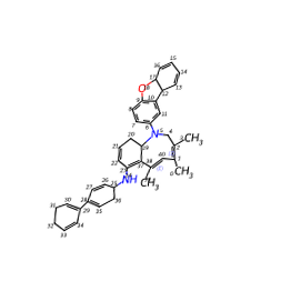 CC1=C(\C)CN(c2ccc3c(c2)C2C=CC=CC2O3)C2CC=CC(NC3C=CC(C4=CCCC=C4)=CC3)=C2\C(C)=C\1